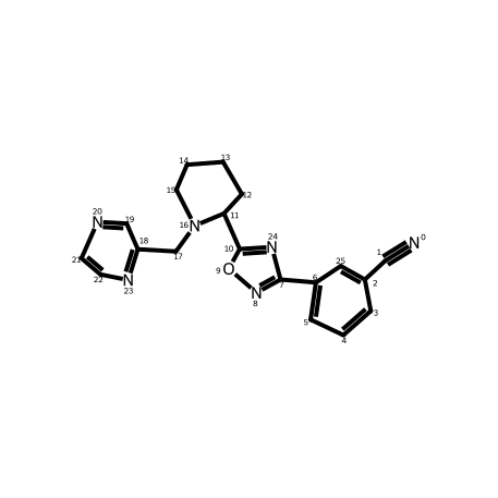 N#Cc1cccc(-c2noc(C3CCCCN3Cc3cnccn3)n2)c1